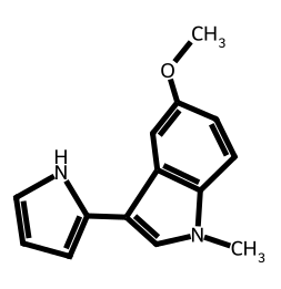 COc1ccc2c(c1)c(-c1ccc[nH]1)cn2C